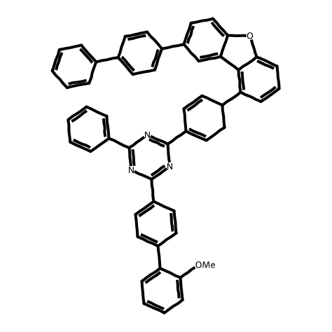 COc1ccccc1-c1ccc(-c2nc(C3=CCC(c4cccc5oc6ccc(-c7ccc(-c8ccccc8)cc7)cc6c45)C=C3)nc(-c3ccccc3)n2)cc1